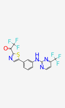 O=C(c1ncc(-c2cccc(Nc3nccc(C(F)(F)F)n3)c2)s1)C(F)(F)F